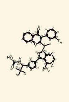 CC(c1oc2ccccc2c(=O)c1-c1cccc(F)c1)n1nc(-c2ccc(C(NC(=O)O)C(C)(C)C)s2)c2c(N)ncnc21